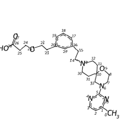 Cc1ccnc(N2CCOC3(CCN(CCc4cccc(CCOCCC(=O)O)c4)CC3)C2)n1